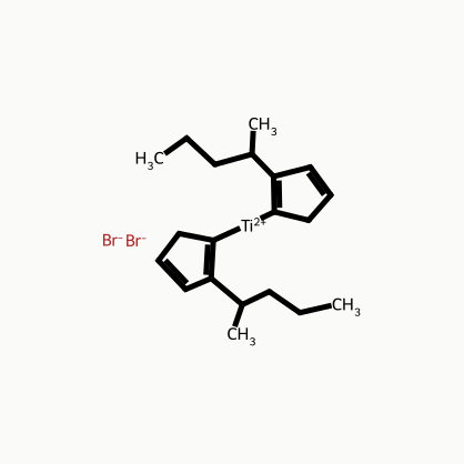 CCCC(C)C1=[C]([Ti+2][C]2=C(C(C)CCC)C=CC2)CC=C1.[Br-].[Br-]